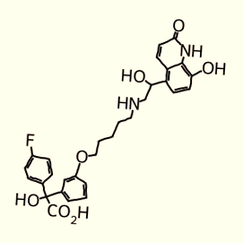 O=C(O)C(O)(c1ccc(F)cc1)c1cccc(OCCCCCNCC(O)c2ccc(O)c3[nH]c(=O)ccc23)c1